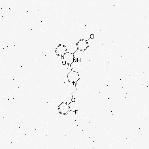 O=C(N[C@H](c1ccc(Cl)cc1)c1ccccn1)C1CCN(CCOc2ccccc2F)CC1